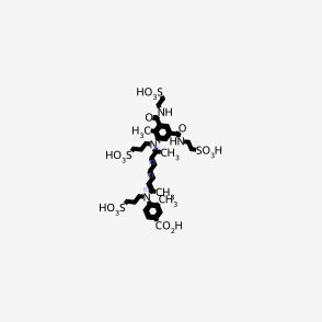 C\C(=C/C=C/C=C/C(C)=[N+](\CCCS(=O)(=O)O)c1cc(C(=O)NCCS(=O)(=O)O)cc(C(=O)NCCS(=O)(=O)O)c1C)N(CCCS(=O)(=O)O)c1ccc(C(=O)O)cc1C